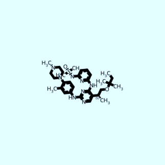 CCC(C)(C)OC[C@@H](C)c1cnc(Nc2ccc(N3CCN(C)CC3)c(C)c2)nc1Nc1cccc(N=S(C)(C)=O)n1